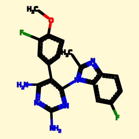 COc1ccc(-c2c(N)nc(N)nc2-n2c(C)nc3ccc(F)cc32)cc1F